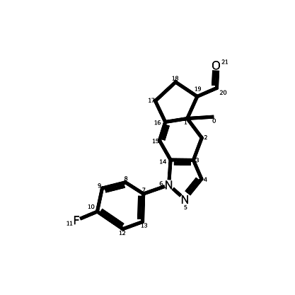 CC12Cc3cnn(-c4ccc(F)cc4)c3C=C1CCC2C=O